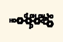 COc1cc(-c2ccc(O)cc2)c(OC)c(O)c1-c1ccc(OCc2ccccc2NC(C)=O)c(O)c1